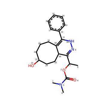 CC(OC(=O)N(C)C)C1=NNC(c2ccccc2)=C2CCCC(O)CCC12